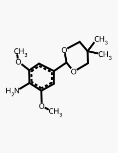 COc1cc(C2OCC(C)(C)CO2)cc(OC)c1N